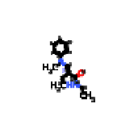 C=C/C(=C\N(C)c1ccccc1)C(=O)NCC